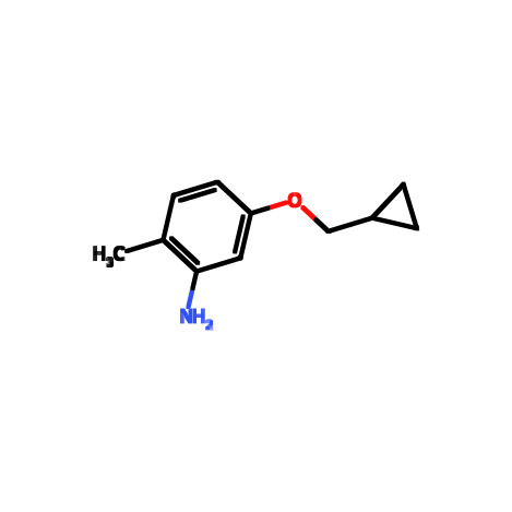 Cc1ccc(OCC2CC2)cc1N